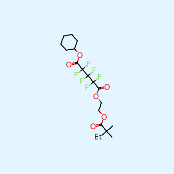 CCC(C)(C)C(=O)OCCOC(=O)C(F)(F)C(F)(F)C(F)(F)C(=O)OC1CCCCC1